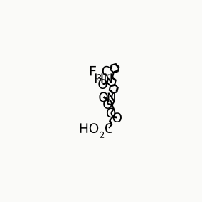 O=C(O)C=CC(=O)OCC1CN(c2ccc3cc(-c4ccccc4C(F)(F)F)[nH]c(=O)c3c2)C(=O)O1